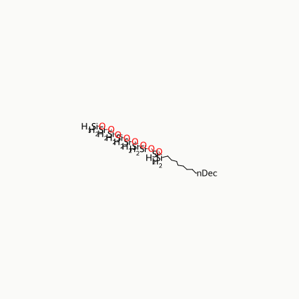 CCCCCCCCCCCCCCCCCC[SiH2]O[SiH2]O[SiH2]O[SiH2]O[SiH2]O[SiH2]O[SiH2]O[SiH2]O[SiH3]